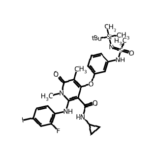 Cc1c(Oc2cccc(NS(C)(=O)=N[Si](C)(C)C(C)(C)C)c2)c(C(=O)NC2CC2)c(Nc2ccc(I)cc2F)n(C)c1=O